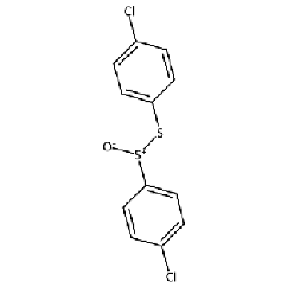 [O-][S+](Sc1ccc(Cl)cc1)c1ccc(Cl)cc1